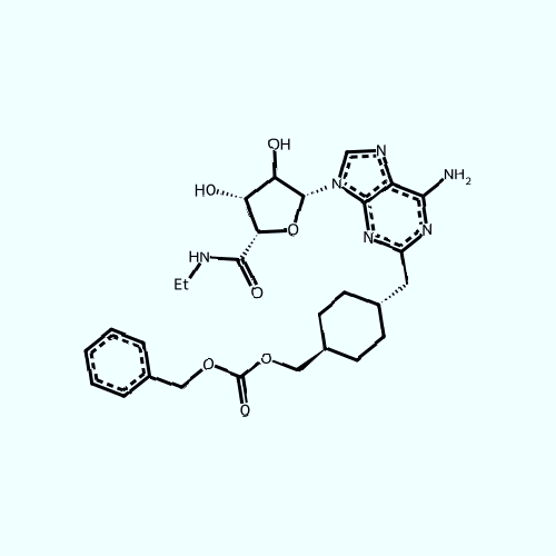 CCNC(=O)[C@H]1O[C@@H](n2cnc3c(N)nc(C[C@H]4CC[C@H](COC(=O)OCc5ccccc5)CC4)nc32)C(O)[C@H]1O